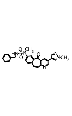 CN(c1ccc2ccc3ncc(-c4cnn(C)c4)cc3c(=O)c2c1)S(=O)(=O)NCc1ccccc1